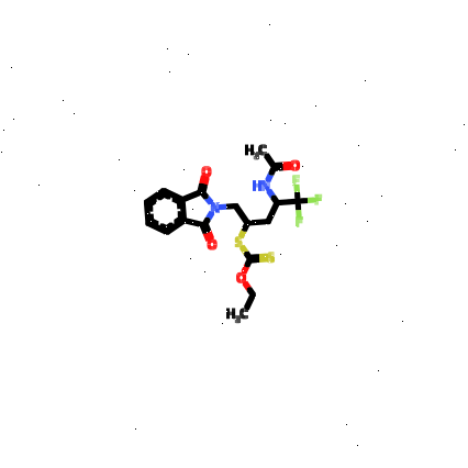 CCOC(=S)SC(CC(NC(C)=O)C(F)(F)F)CN1C(=O)c2ccccc2C1=O